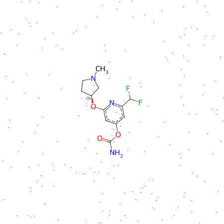 CN1CC[C@H](Oc2cc(OC(N)=O)cc(C(F)F)n2)C1